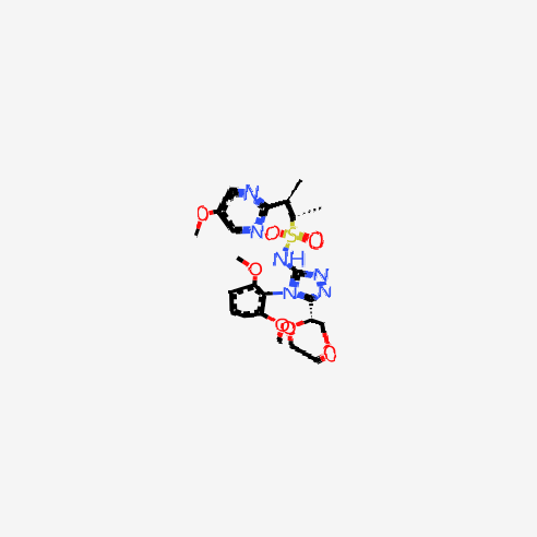 COc1cnc([C@@H](C)[C@H](C)S(=O)(=O)Nc2nnc([C@@H]3COCCO3)n2-c2c(OC)cccc2OC)nc1